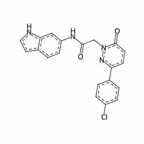 O=C(Cn1nc(-c2ccc(Cl)cc2)ccc1=O)Nc1ccc2cc[nH]c2c1